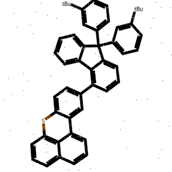 CC(C)(C)c1cccc(C2(c3cccc(C(C)(C)C)c3)c3ccccc3-c3c(-c4ccc5c(c4)-c4cccc6cccc(c46)S5)cccc32)c1